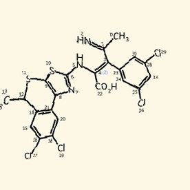 CC(=N)/C(=C(\Nc1nc2c(s1)SC(C)c1cc(Cl)c(Cl)cc1-2)C(=O)O)c1cc(Cl)cc(Cl)c1